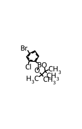 CC1(C)OB(c2ccc(Br)cc2Cl)OC1(C)C